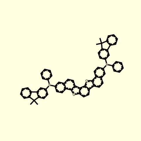 CC1(C)c2ccccc2-c2cc(N(c3ccccc3)c3ccc4c(ccc5c6ccc7oc8c9ccc(N(c%10ccccc%10)c%10ccc%11c(c%10)-c%10ccccc%10C%11(C)C)cc9ccc8c7c6oc45)c3)ccc21